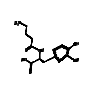 NCCCC(=O)N[C@@H](Cc1ccc(O)c(O)c1)C(=O)O